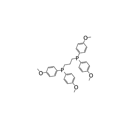 COc1ccc(P(CCCP(c2ccc(OC)cc2)c2ccc(OC)cc2)c2ccc(OC)cc2)cc1